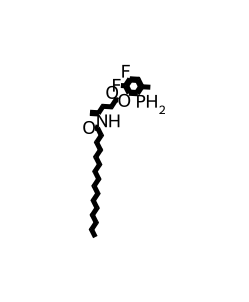 C=C(CCC(=O)Oc1c(F)c(F)cc(C)c1P)NC(=O)CCCCCCCCCCCCCCC